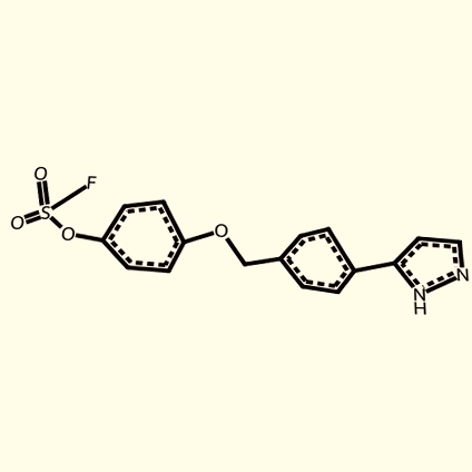 O=S(=O)(F)Oc1ccc(OCc2ccc(-c3ccn[nH]3)cc2)cc1